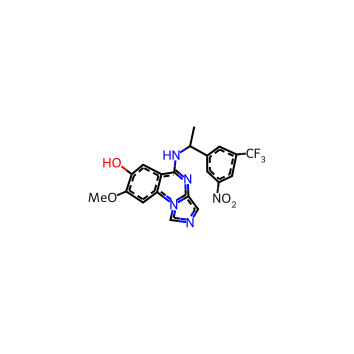 COc1cc2c(cc1O)c(NC(C)c1cc([N+](=O)[O-])cc(C(F)(F)F)c1)nc1cncn12